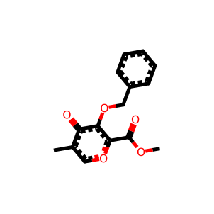 COC(=O)c1occ(C)c(=O)c1OCc1ccccc1